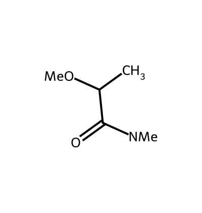 CNC(=O)C(C)OC